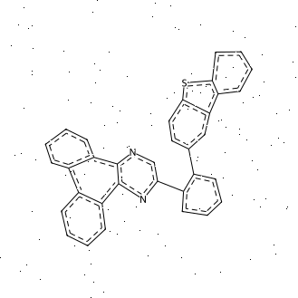 c1ccc(-c2cnc3c4ccccc4c4ccccc4c3n2)c(-c2ccc3sc4ccccc4c3c2)c1